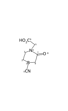 N#CB1CCN(CC(=O)O)C(=O)C1